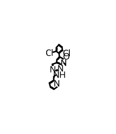 Cn1c(=O)c(-c2c(Cl)cccc2Cl)cc2cnc(NCc3ccccn3)nc21